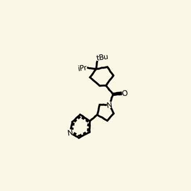 CC(C)C1(C(C)(C)C)CCC(C(=O)N2CCC(c3ccncc3)C2)CC1